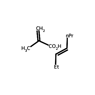 C=C(C)C(=O)O.CCC=CCCC